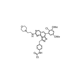 CCC(=O)Nc1ccc(Cc2nnc3c(-c4cc(OC)cc(OC)c4Cl)cc4cnc(NCCN5CCOCC5)nc4n23)cc1